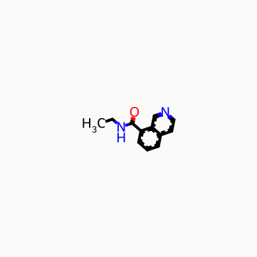 CCNC(=O)c1cccc2ccncc12